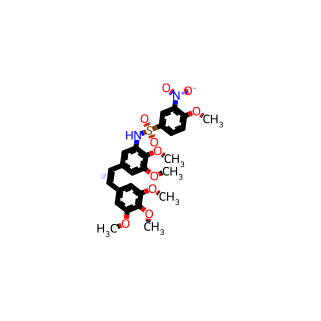 COc1ccc(S(=O)(=O)Nc2cc(/C=C\c3cc(OC)c(OC)c(OC)c3)cc(OC)c2OC)cc1[N+](=O)[O-]